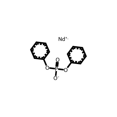 O=P([O-])(Oc1ccccc1)Oc1ccccc1.[Nd+]